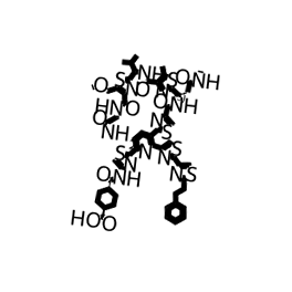 CNC(=O)C[C@H](NC(=O)c1csc(-c2ccc(-c3nc(NC(=O)[C@H]4CC[C@H](C(=O)O)CC4)cs3)nc2-c2csc(-c3csc(CCc4ccccc4)n3)n2)n1)c1nc(C(=O)NC(c2nc(C(=O)NCC(N)=O)c(COC)s2)C(C)C)c(C)s1